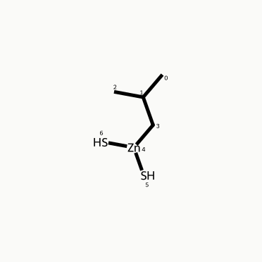 CC(C)[CH2][Zn]([SH])[SH]